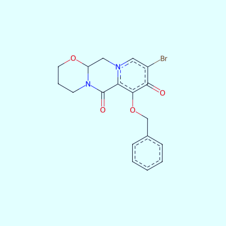 O=C1c2c(OCc3ccccc3)c(=O)c(Br)cn2CC2OCCCN12